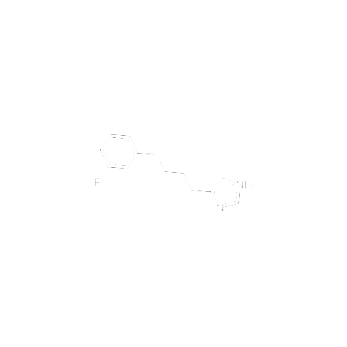 Fc1cccc(OCCCc2c[nH]cn2)c1